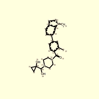 Cn1ncc2ccc(-c3ccc(C(=O)N4CCN(C(O)C5(O)CC5)CC4)c(F)c3)cc21